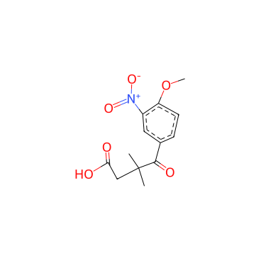 COc1ccc(C(=O)C(C)(C)CC(=O)O)cc1[N+](=O)[O-]